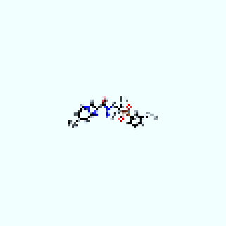 Cc1cccc(S(=O)(=O)C(C)(C)CNC(=O)c2cn3ccc(C(F)(F)F)cc3n2)c1